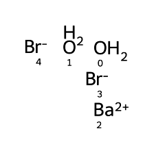 O.O.[Ba+2].[Br-].[Br-]